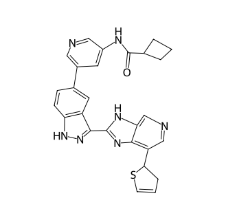 O=C(Nc1cncc(-c2ccc3[nH]nc(-c4nc5c(C6CC=CS6)cncc5[nH]4)c3c2)c1)C1CCC1